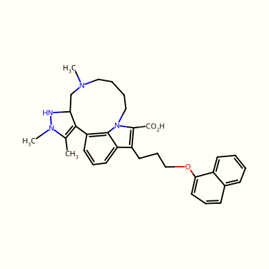 CC1=C2c3cccc4c(CCCOc5cccc6ccccc56)c(C(=O)O)n(c34)CCCCN(C)CC2NN1C